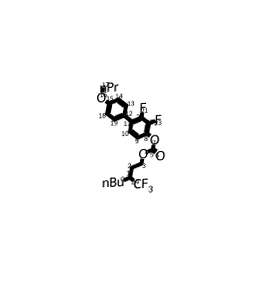 CCCCC(CCOC(=O)Oc1ccc(-c2ccc(OCCC)cc2)c(F)c1F)C(F)(F)F